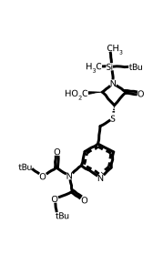 CC(C)(C)OC(=O)N(C(=O)OC(C)(C)C)c1cc(CS[C@H]2C(=O)N([Si](C)(C)C(C)(C)C)[C@@H]2C(=O)O)ccn1